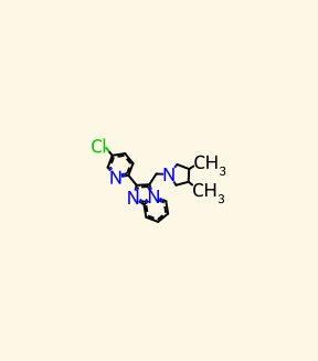 CC1CN(Cc2c(-c3ccc(Cl)cn3)nc3ccccn23)CC1C